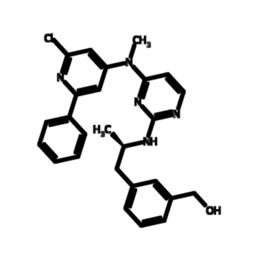 C[C@H](Cc1cccc(CO)c1)Nc1nccc(N(C)c2cc(Cl)nc(-c3ccccc3)c2)n1